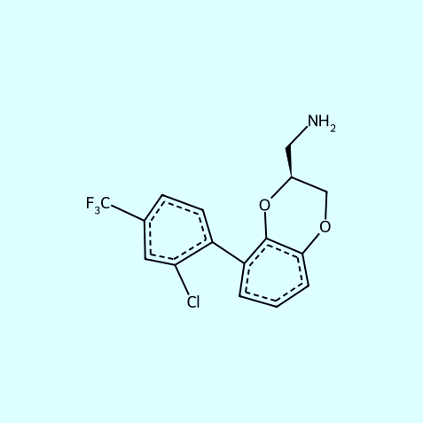 NC[C@H]1COc2cccc(-c3ccc(C(F)(F)F)cc3Cl)c2O1